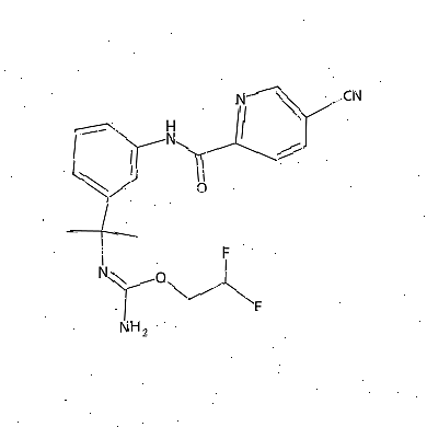 CC(C)(/N=C(/N)OCC(F)F)c1cccc(NC(=O)c2ccc(C#N)cn2)c1